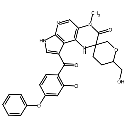 CN1C(=O)C2(CCC(CO)OC2)Nc2c1cnc1[nH]cc(C(=O)c3ccc(Oc4ccccc4)cc3Cl)c21